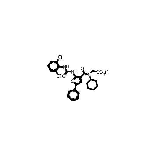 O=C(O)CN(C(=O)c1cc(-c2ccccc2)sc1NC(=O)Nc1c(Cl)cccc1Cl)C1CCCCC1